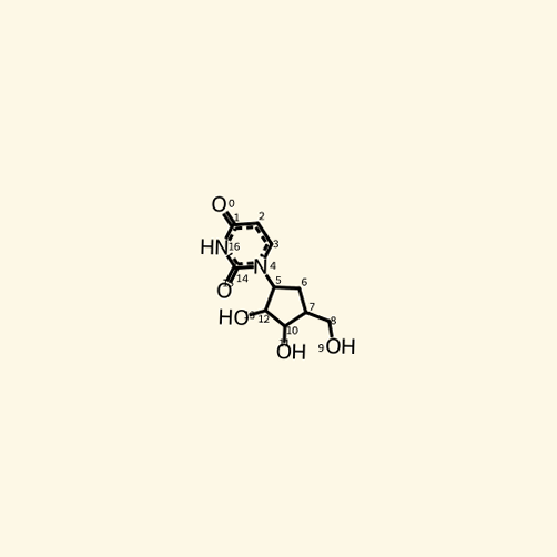 O=c1ccn(C2CC(CO)C(O)C2O)c(=O)[nH]1